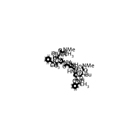 CC[C@H](C)C(NC(=O)[C@H](C)NC)C(=O)N1C[C@@H](NC(=O)c2cc(C(=O)N[C@H]3C[C@@H](C(=O)N[C@H](C)c4ccccc4)N(C(=O)[C@@H](NC(=O)[C@H](C)NC)[C@@H](C)CC)C3)n[nH]2)C[C@H]1C(=O)N[C@H](C)c1ccccc1